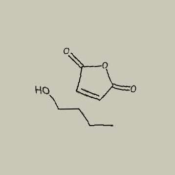 CCCCO.O=C1C=CC(=O)O1